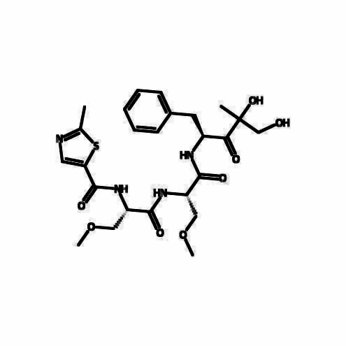 COC[C@H](NC(=O)c1cnc(C)s1)C(=O)N[C@@H](COC)C(=O)N[C@@H](Cc1ccccc1)C(=O)C(C)(O)CO